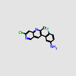 CCc1nc2cc(Cl)ncc2cc1-c1cc(N)ccc1F